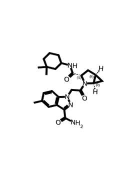 Cc1ccc2c(c1)c(C(N)=O)nn2CC(=O)N1[C@@H]2C[C@@H]2C[C@H]1C(=O)NC1CCCC(C)(C)C1